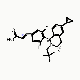 C[C@H]1Cc2cc(C3CC3)ccc2[C@H](c2c(F)cc(/C=C/C(=O)O)cc2F)N1CC(C)(C)F